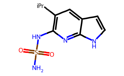 CC(C)c1cc2cc[nH]c2nc1NS(N)(=O)=O